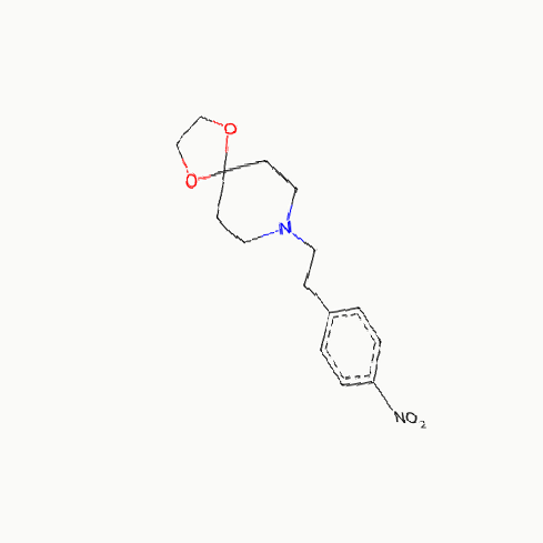 O=[N+]([O-])c1ccc(CCN2CCC3(CC2)OCCO3)cc1